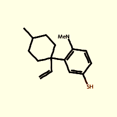 C=CC1(c2cc(S)ccc2NC)CCC(C)CC1